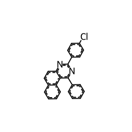 Clc1ccc(-c2nc(-c3ccccc3)c3c(ccc4ccccc43)n2)cc1